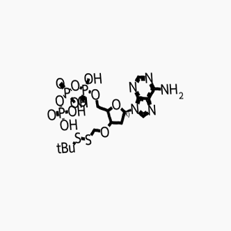 CC(C)(C)SSCOC1C[C@H](n2cnc3c(N)ncnc32)OC1COP(=O)(O)OP(=O)(O)OP(=O)(O)O